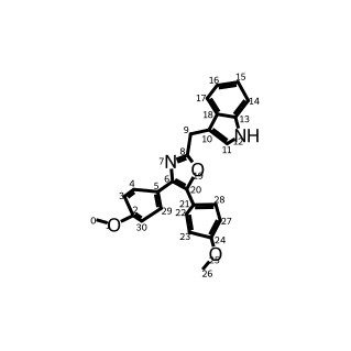 COc1ccc(-c2nc(Cc3c[nH]c4ccccc34)oc2-c2ccc(OC)cc2)cc1